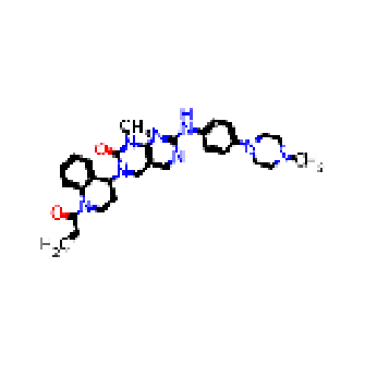 C=CC(=O)N1CCC(N2Cc3cnc(Nc4ccc(N5CCN(C)CC5)cc4)nc3N(C)C2=O)c2ccccc21